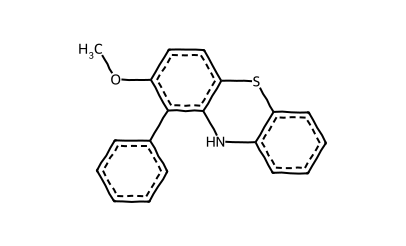 COc1ccc2c(c1-c1ccccc1)Nc1ccccc1S2